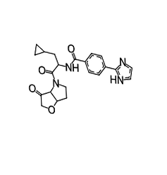 O=C(NC(CC1CC1)C(=O)N1CCC2OCC(=O)C21)c1ccc(-c2ncc[nH]2)cc1